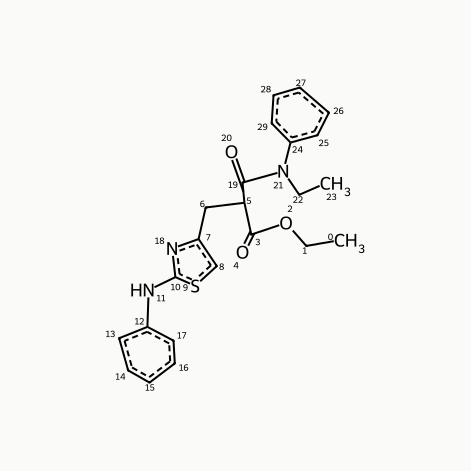 CCOC(=O)C(Cc1csc(Nc2ccccc2)n1)C(=O)N(CC)c1ccccc1